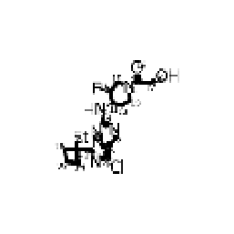 CCC1(c2nc(Cl)c3cnc(N[C@H]4CCN(C(=O)CO)C[C@H]4F)nn23)CCC1